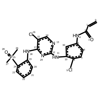 C=CC(=O)Nc1ccc(Cl)c(Nc2ncc(Cl)c(Nc3ccccc3P(C)(C)=O)n2)c1